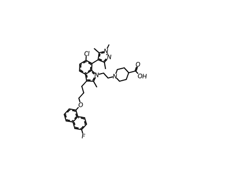 Cc1nn(C)c(C)c1-c1c(Cl)ccc2c(CCCOc3cccc4cc(F)ccc34)c(C)n(CCN3CCC(C(=O)O)CC3)c12